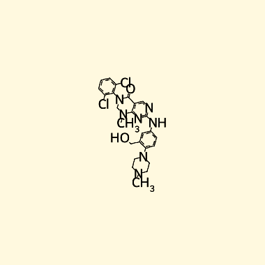 CN1CCN(c2ccc(Nc3ncc4c(n3)N(C)CN(c3c(Cl)cccc3Cl)C4=O)cc2CO)CC1